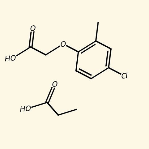 CCC(=O)O.Cc1cc(Cl)ccc1OCC(=O)O